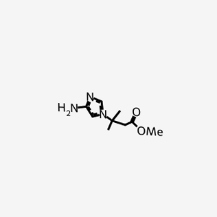 COC(=O)CC(C)(C)n1cnc(N)c1